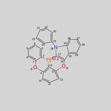 O=P12c3ccccc3Oc3cccc(c31)Oc1c2n(-c2ccccc2)c2ccccc12